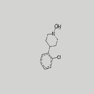 ON1CCC(c2ccccc2Cl)CC1